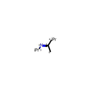 C/C(=N\C(C)C)C(C)C